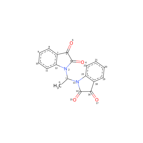 CC(N1C(=O)C(=O)c2ccccc21)N1C(=O)C(=O)c2ccccc21